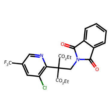 CCOC(=O)C(CN1C(=O)c2ccccc2C1=O)(C(=O)OCC)c1ncc(C(F)(F)F)cc1Cl